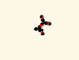 c1ccc(-n2ccc3c4c5cc(-c6ccc(N(c7ccc(-c8ncccn8)cc7)c7ccc(-c8ncncn8)cc7)cc6)ccc5n(-c5ccccc5)c4ccc32)cc1